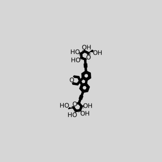 OC[C@H]1OC(C#Cc2ccc3c(c2)C2(CCOCC2)c2cc(C#CC4O[C@H](CO)[C@@H](O)[C@H](O)[C@@H]4O)ccc2-3)[C@@H](O)[C@@H](O)[C@@H]1O